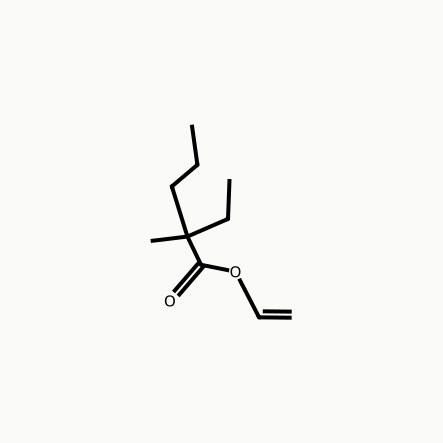 C=COC(=O)C(C)(CC)CCC